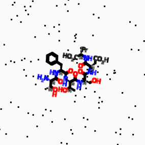 CC(C)[C@H](NC(=O)[C@H](CC(=O)O)NC(=O)[C@H](CO)NC(=O)[C@@H](NC(=O)[C@H](Cc1ccccc1)NC(=O)[C@@H](N)[C@@H](C)O)[C@@H](C)O)C(=O)O